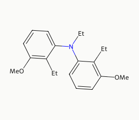 CCc1c(OC)cccc1N(CC)c1cccc(OC)c1CC